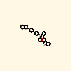 c1ccc(N(c2ccc(-c3ccc(-c4ccc5ccccc5c4)cc3)cc2)c2ccccc2-c2ccc3sc4ccccc4c3c2)cc1